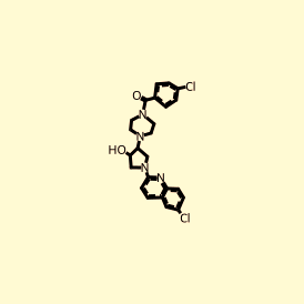 O=C(c1ccc(Cl)cc1)N1CCN(C2CN(c3ccc4cc(Cl)ccc4n3)CC2O)CC1